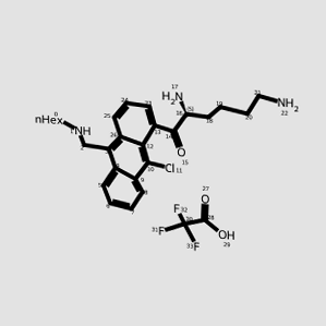 CCCCCCNCc1c2ccccc2c(Cl)c2c(C(=O)[C@@H](N)CCCCN)cccc12.O=C(O)C(F)(F)F